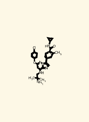 Cc1cc(-c2cnc3c(NCC(C)(C)N)cc(Oc4ccc(Cl)cc4)nn23)ccc1C(=O)NC1CC1